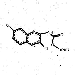 CCCCCOC(=O)Nc1nc2cc(Br)ccc2cc1Cl